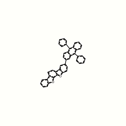 c1ccc(-c2c3ccccc3c(-c3ccccc3)c3cc(-c4ccc5oc6c(ccc7c8ccccc8oc76)c5c4)ccc23)cc1